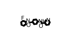 O=C(Nc1ccc(-c2nc3c(F)cccc3o2)cc1)c1cccnc1